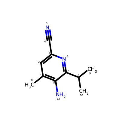 Cc1cc(C#N)nc(C(C)C)c1N